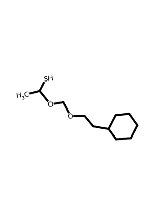 CC(S)OCOCCC1CCCCC1